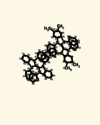 Cc1cc2c(cc1C)N(c1ccccn1)C(=C1N(c3ccccn3)c3cc(C)c(C)cc3N1c1ccc(-c3ccc(N4C(=C5N(c6ccccn6)c6ccccc6N5c5ccccn5)N(c5ccccn5)c5ccccc54)nc3)cn1)N2c1ccccn1